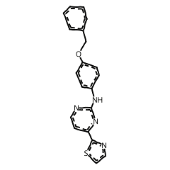 c1ccc(COc2ccc(Nc3nccc(-c4nccs4)n3)cc2)cc1